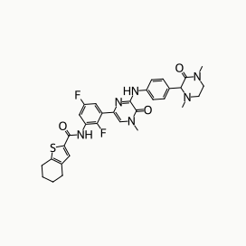 CN1CCN(C)C(c2ccc(Nc3nc(-c4cc(F)cc(NC(=O)c5cc6c(s5)CCCC6)c4F)cn(C)c3=O)cc2)C1=O